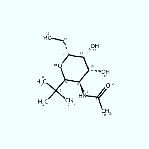 CC(=O)N[C@H]1C(C(C)(C)C)O[C@H](CO)[C@H](O)[C@@H]1O